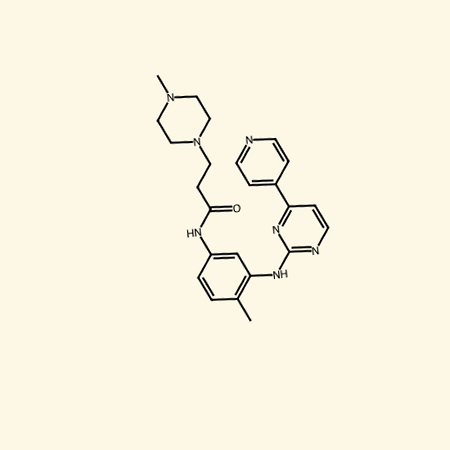 Cc1ccc(NC(=O)CCN2CCN(C)CC2)cc1Nc1nccc(-c2ccncc2)n1